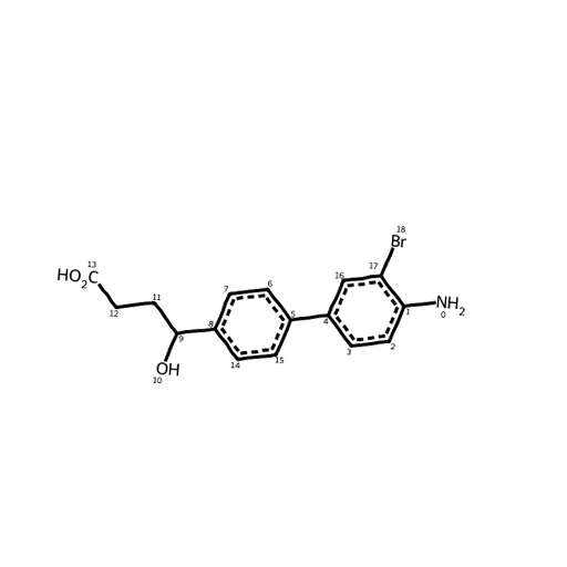 Nc1ccc(-c2ccc(C(O)CCC(=O)O)cc2)cc1Br